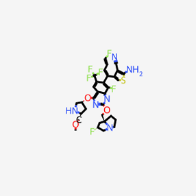 COC[C@H]1C[C@@H](Oc2nc(OC[C@@]34CCCN3C[C@H](F)C4)nc3c(F)c(/C(=C/C=C/F)c4csc(N)c4C#N)c(C(F)(F)F)cc23)CN1